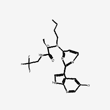 CCCCN(c1ccnc(-c2c[nH]c3ncc(Cl)cc23)n1)[C@H](C)C(=O)NCC(F)(F)F